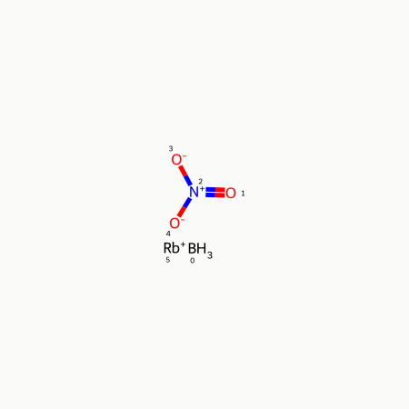 B.O=[N+]([O-])[O-].[Rb+]